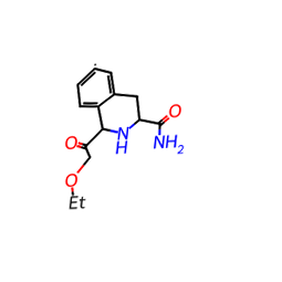 CCOCC(=O)C1NC(C(N)=O)Cc2c[c]ccc21